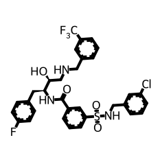 O=C(N[C@@H](Cc1ccc(F)cc1)[C@@H](O)CNCc1cccc(C(F)(F)F)c1)c1cccc(S(=O)(=O)NCc2cccc(Cl)c2)c1